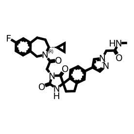 CNC(=O)Cn1cc(-c2ccc3c(c2)CCC32NC(=O)N(CC(=O)N3Cc4ccc(F)cc4CC[C@@H]3C3CC3)C2=O)cn1